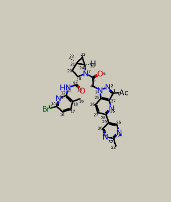 CC(=O)c1nn(CC(=O)N2[C@H](C(=O)Nc3nc(Br)ccc3C)C[C@@]3(C)C[C@@H]23)c2ccc(-c3cnc(C)nc3)nc12